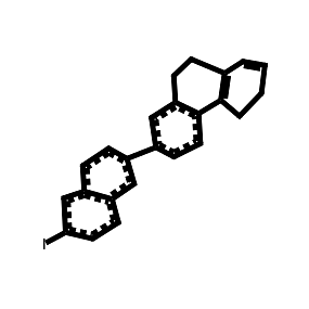 Ic1ccc2cc(-c3ccc4c(c3)CCC3=C4CCC=C3)ccc2c1